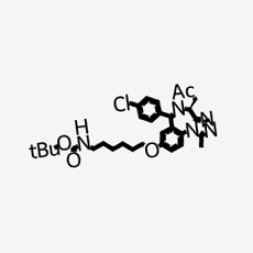 CC(=O)C[C@@H]1N=C(c2ccc(Cl)cc2)c2cc(OCCCCCCNC(=O)OC(C)(C)C)ccc2-n2c(C)nnc21